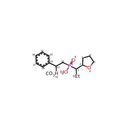 CCC(C1CCCO1)P(=O)(O)CC(C(=O)O)c1ccccc1